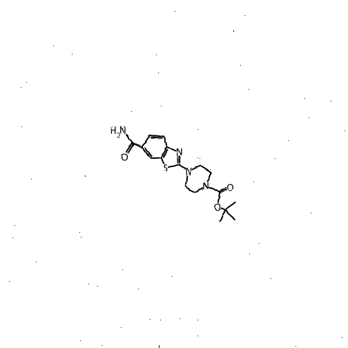 CC(C)(C)OC(=O)N1CCN(c2nc3ccc(C(N)=O)cc3s2)CC1